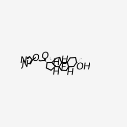 Cn1cc(OCC(=O)[C@H]2CC[C@H]3[C@@H]4CC[C@@H]5C[C@](C)(O)CC[C@]5(F)[C@H]4CC[C@]23C)cn1